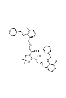 CC1(C)O[C@H]([C@H](O)COCc2cccc(F)c2OCc2ccccc2)[C@@H]([C@H](O)COCc2cccc(F)c2OCc2ccccc2)O1